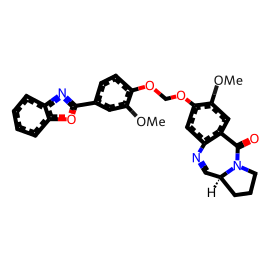 COc1cc(-c2nc3ccccc3o2)ccc1OCOc1cc2c(cc1OC)C(=O)N1CCC[C@H]1C=N2